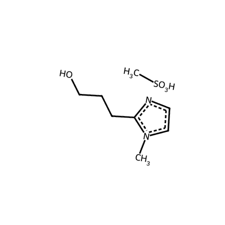 CS(=O)(=O)O.Cn1ccnc1CCCO